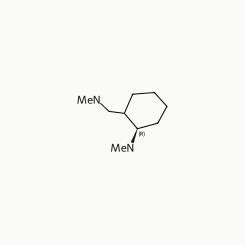 CNCC1CCCC[C@H]1NC